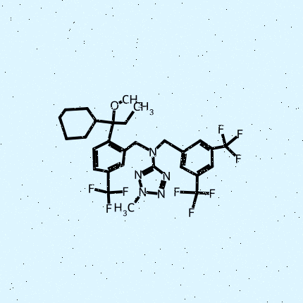 CCC(OC)(c1ccc(C(F)(F)F)cc1CN(Cc1cc(C(F)(F)F)cc(C(F)(F)F)c1)c1nnn(C)n1)C1CCCCC1